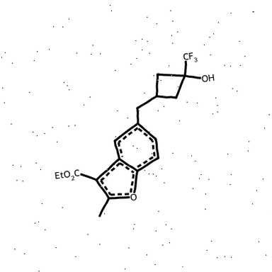 CCOC(=O)c1c(C)oc2ccc(CC3CC(O)(C(F)(F)F)C3)cc12